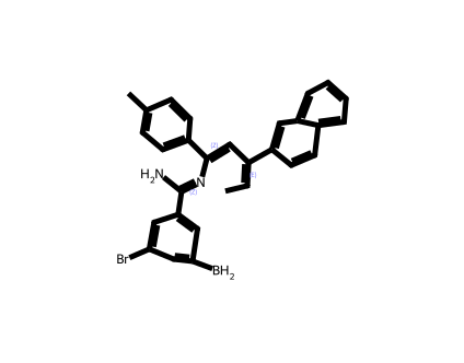 Bc1cc(Br)cc(/C(N)=N/C(=C\C(=C/C)c2ccc3ccccc3c2)c2ccc(C)cc2)c1